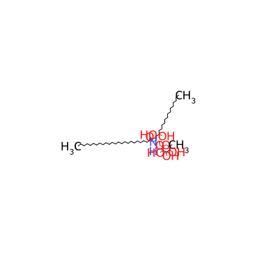 CCCCCCCCCCCCCCCCCCCCCCCC(=O)N[C@@H](COC1OC(C)C(O)C(O)C1O)[C@H](O)[C@H](O)CCCCCCCCCCCCCC